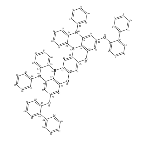 c1ccc(-c2ccccc2Oc2cc3c4c(c2)N(c2ccccc2)c2ccccc2B4c2cc4c(cc2O3)Oc2cc(Oc3ccccc3-c3ccccc3)cc3c2B4c2ccccc2N3c2ccccc2)cc1